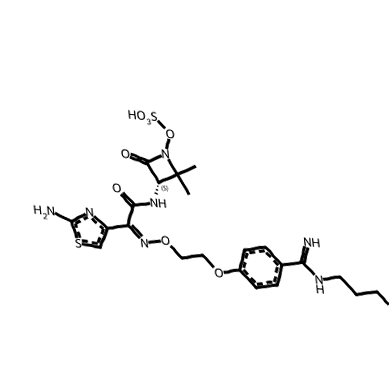 CC1(C)[C@H](NC(=O)C(=NOCCOc2ccc(C(=N)NCCCN)cc2)c2csc(N)n2)C(=O)N1OS(=O)(=O)O